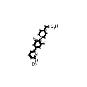 CCOc1cccc(-c2cc(F)c(N3CCC(CC(=O)O)CC3)c(F)c2)n1